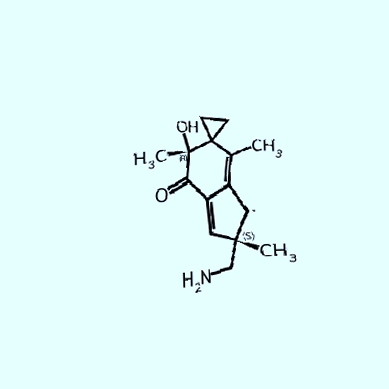 CC1=C2[CH][C@](C)(CN)C=C2C(=O)[C@](C)(O)C12CC2